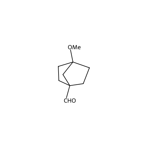 COC12CCC(C=O)(CC1)C2